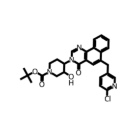 CC(C)(C)OC(=O)N1CCC(n2cnc3c(cc(Cc4ccc(Cl)nc4)c4ccccc43)c2=O)C(O)C1